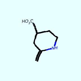 C=C1CC(C(=O)O)CCN1